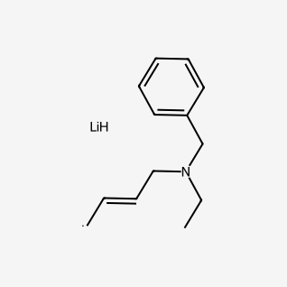 [CH2]C=CCN(CC)Cc1ccccc1.[LiH]